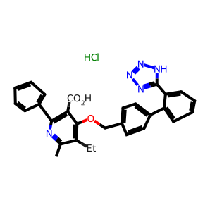 CCc1c(C)nc(-c2ccccc2)c(C(=O)O)c1OCc1ccc(-c2ccccc2-c2nnn[nH]2)cc1.Cl